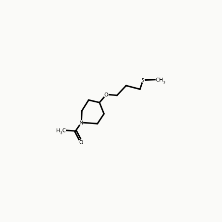 CSCCCOC1CCN(C(C)=O)CC1